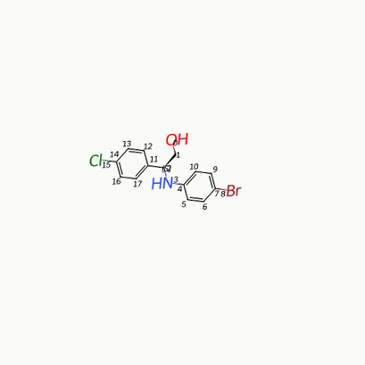 OC[C@@H](Nc1ccc(Br)cc1)c1ccc(Cl)cc1